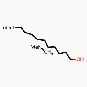 CCCCCCCCCCCCCCCCCCO.CNC